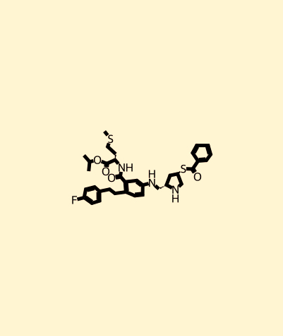 CSCC[C@H](NC(=O)c1cc(NC[C@@H]2C[C@H](SC(=O)c3ccccc3)CN2)ccc1CCc1ccc(F)cc1)C(=O)OC(C)C